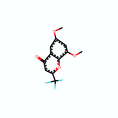 COc1cc(OC)c2oc(C(F)(F)F)cc(=O)c2c1